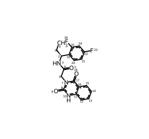 CC[C@H](NC(=O)Cn1c(=O)[nH]c2ccccc2c1=O)c1ccc(F)cc1F